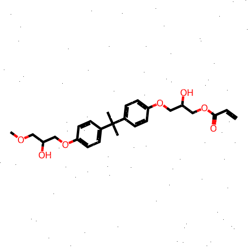 C=CC(=O)OCC(O)COc1ccc(C(C)(C)c2ccc(OCC(O)COC)cc2)cc1